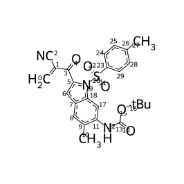 C=C(C#N)C(=O)c1cc2cc(C)c(NC(=O)OC(C)(C)C)cc2n1S(=O)(=O)c1ccc(C)cc1